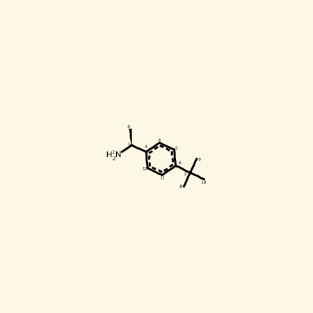 C[C@H](N)c1ccc(C(C)(C)C)cc1